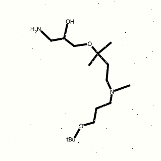 CN(CCCOC(C)(C)C)CCC(C)(C)OCC(O)CN